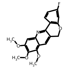 COc1cc2nc3c(cc2c(OC)c1OC)COc1cc(F)ccc1-3